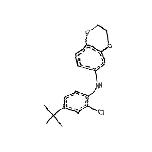 CC(C)(C)c1ccc(Nc2ccc3c(c2)OCCO3)c(Cl)c1